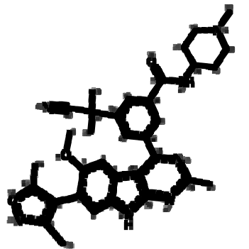 COc1cc2c(cc1-c1c(C)noc1C)[nH]c1nc(C)nc(-c3cc(C(=O)NC4CCN(C)CC4)cc(C(C)(C)C#N)c3)c12